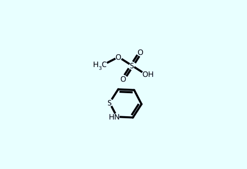 C1=CNSC=C1.COS(=O)(=O)O